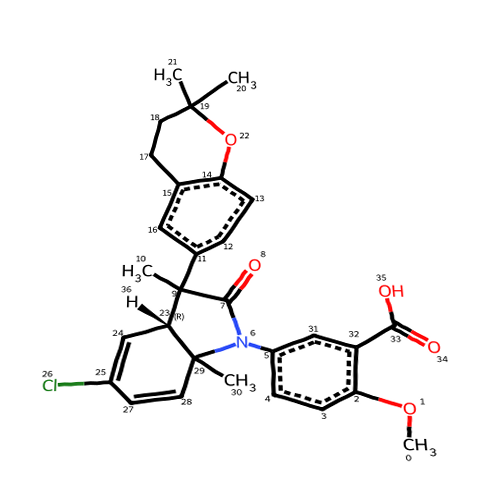 COc1ccc(N2C(=O)C(C)(c3ccc4c(c3)CCC(C)(C)O4)[C@H]3C=C(Cl)C=CC32C)cc1C(=O)O